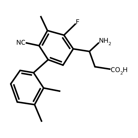 Cc1cccc(-c2cc(C(N)CC(=O)O)c(F)c(C)c2C#N)c1C